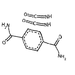 N=C=O.N=C=O.NC(=O)c1ccc(C(N)=O)cc1